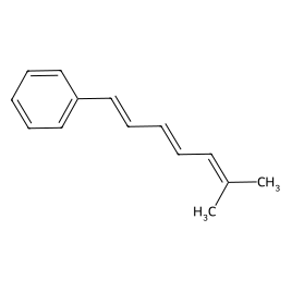 CC(C)=CC=CC=Cc1ccccc1